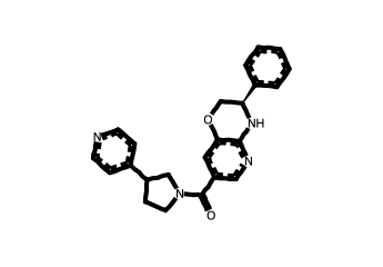 O=C(c1cnc2c(c1)OC[C@@H](c1ccccc1)N2)N1CCC(c2ccncc2)C1